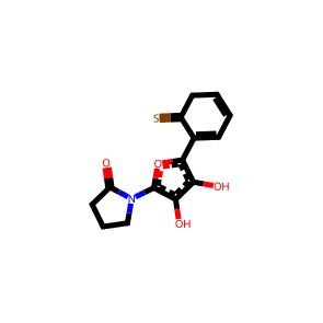 O=C1CCCN1c1oc(C2=CC=CCC2=S)c(O)c1O